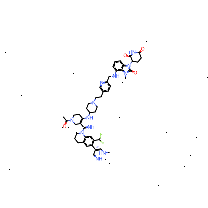 CN/C=C(\C=N)c1cc2c(cc1C(F)F)N(C(=N)C1=C(NC3CCN(CCc4ccc(CNc5cccc6c5n(C)c(=O)n6C5CCC(=O)NC5=O)nc4)CC3)CCN(C(C)=O)C1)CCC2